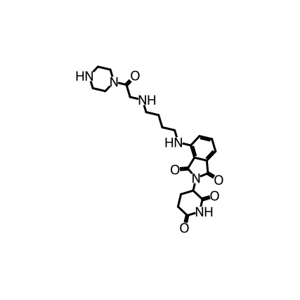 O=C1CCC(N2C(=O)c3cccc(NCCCCNCC(=O)N4CCNCC4)c3C2=O)C(=O)N1